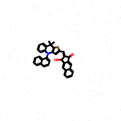 CC1(C)c2ccccc2N(c2cccc3ccccc23)c2cc(/C=C3/C(=O)c4cc5ccccc5cc4C3O)sc21